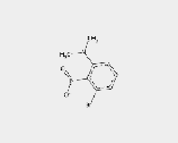 CN(C)c1cccc(Br)c1[N+](=O)[O-]